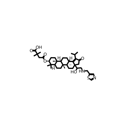 CC(C)C1=C2[C@H]3CC[C@@H]4[C@@]5(C)CC[C@H](OC(=O)CC(C)(C)C(=O)O)C(C)(C)[C@@H]5CC[C@@]4(C)[C@]3(C)CCC2(C(O)CNCc2cncs2)CC1=O